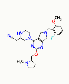 COc1cccc(F)c1CN1Cc2nc(OCC3CCCN3C)nc(N3CCNC(CC#N)C3)c2C1